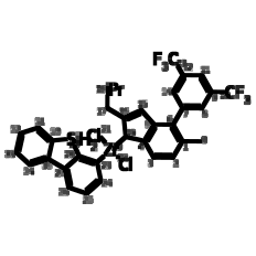 Cc1ccc2c(c1-c1cc(C(F)(F)F)cc(C(F)(F)F)c1)C=C(CC(C)C)[CH]2[Zr]([Cl])([Cl])[c]1cccc2c1[SiH2]c1ccccc1-2